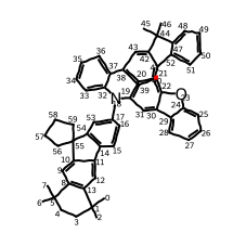 CC1(C)CCC(C)(C)c2cc3c(cc21)-c1ccc(N(c2ccc4oc5ccccc5c4c2)c2ccccc2-c2ccc4c(c2)C(C)(C)c2ccccc2-4)cc1C31CCCC1